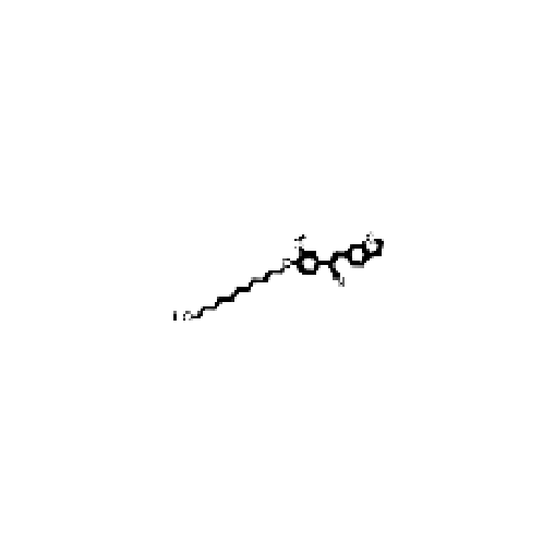 COc1cc(/C(C#N)=C/c2ccc3c(c2)OCC3)ccc1OCCCCCCCCCCCO